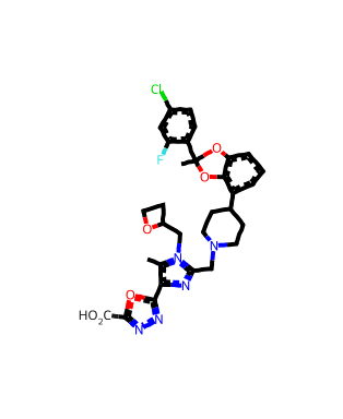 Cc1c(-c2nnc(C(=O)O)o2)nc(CN2CCC(c3cccc4c3OC(C)(c3ccc(Cl)cc3F)O4)CC2)n1CC1CCO1